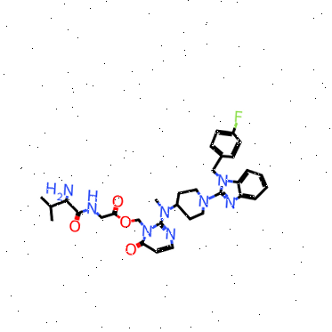 CC(C)C(N)C(=O)NCC(=O)OCn1c(N(C)C2CCN(c3nc4ccccc4n3Cc3ccc(F)cc3)CC2)nccc1=O